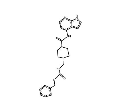 O=C(NC[C@H]1CC[C@H](C(=O)Nc2ccnc3[nH]ccc23)CC1)OCc1ccccc1